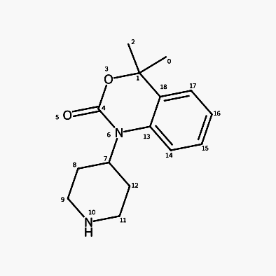 CC1(C)OC(=O)N(C2CCNCC2)c2ccccc21